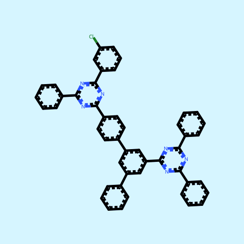 Clc1cccc(-c2nc(-c3ccccc3)nc(-c3ccc(-c4cc(-c5ccccc5)cc(-c5nc(-c6ccccc6)nc(-c6ccccc6)n5)c4)cc3)n2)c1